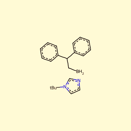 BCC(c1ccccc1)c1ccccc1.CC(C)(C)n1ccnc1